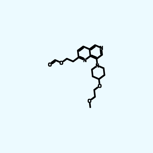 COCCOC1CCN(c2cncc3ccc(CCOC=O)nc23)CC1